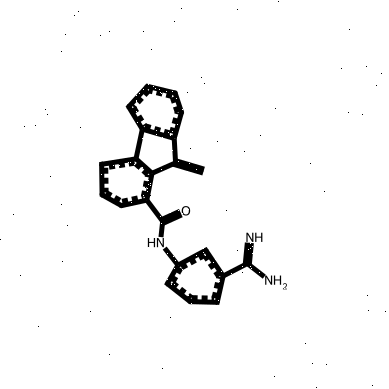 C=C1c2ccccc2-c2cccc(C(=O)Nc3cccc(C(=N)N)c3)c21